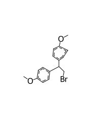 COc1ccc(C(CBr)c2ccc(OC)cc2)cc1